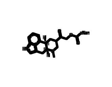 CCCCCCCCCC(=O)OCC(=O)C1C[C@@H]2c3cccc4[nH]cc(c34)C[C@H]2N(C)C1